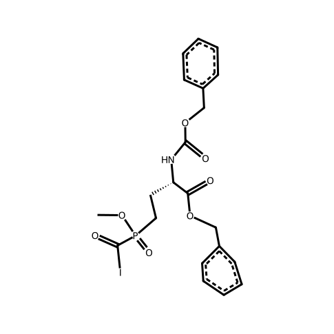 COP(=O)(CC[C@H](NC(=O)OCc1ccccc1)C(=O)OCc1ccccc1)C(=O)I